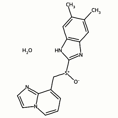 Cc1cc2nc([S+]([O-])Cc3cccn4ccnc34)[nH]c2cc1C.O